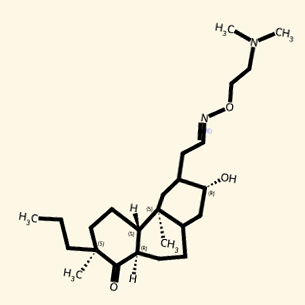 CCC[C@@]1(C)CC[C@H]2[C@@H](CCC3C[C@@H](O)C(C/C=N/OCCN(C)C)C[C@@]32C)C1=O